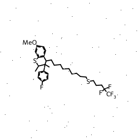 COc1ccc2c(c1)SC(C)C(C)(c1ccc(F)cc1)C2CCCCCCCCCSCCCC(F)(F)C(F)(F)F